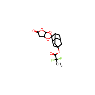 CC(F)(F)C(=O)OC12CC3CC(C1)C1(OC4CC(=O)OC4O1)C(C3)C2